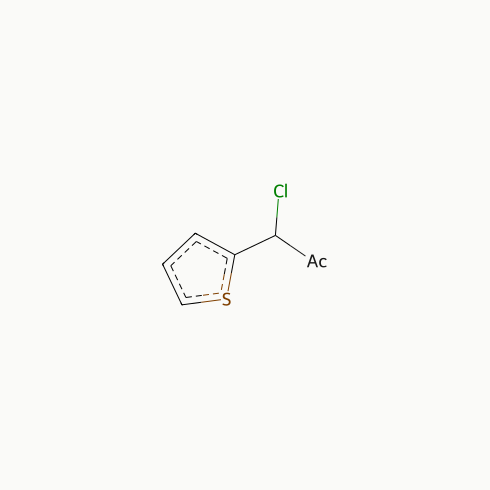 CC(=O)C(Cl)c1cccs1